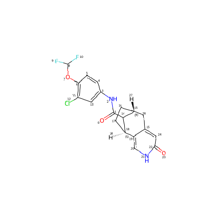 O=C(Nc1ccc(OC(F)F)c(Cl)c1)C1[C@@H]2CC[C@@H]1c1c[nH]c(=O)cc1C2